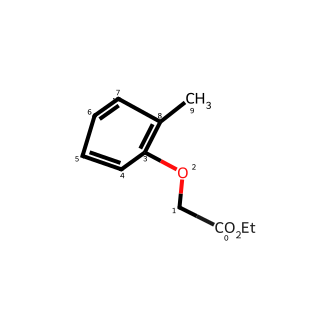 CCOC(=O)COc1ccc[c]c1C